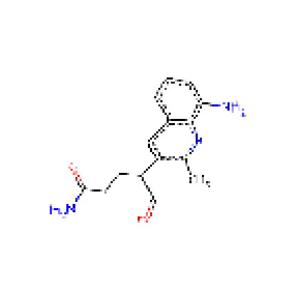 Cc1nc2c(N)cccc2cc1C(C=O)CCC(N)=O